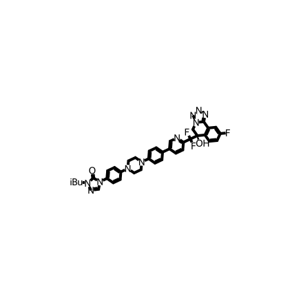 CCC(C)n1ncn(-c2ccc(N3CCN(c4ccc(-c5ccc(C(F)(F)[C@]6(O)Cn7nnnc7-c7cc(F)ccc76)nc5)cc4)CC3)cc2)c1=O